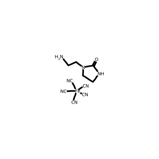 N#[C][Fe]([C]#N)([C]#N)([C]#N)[C]#N.NCCN1CCNC1=O